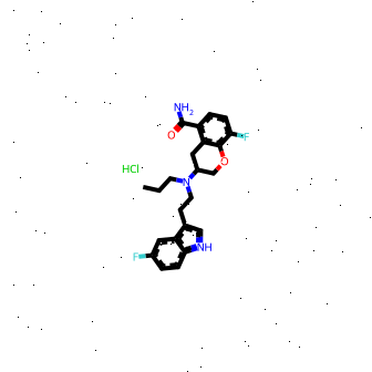 CCCN(CCc1c[nH]c2ccc(F)cc12)C1COc2c(F)ccc(C(N)=O)c2C1.Cl